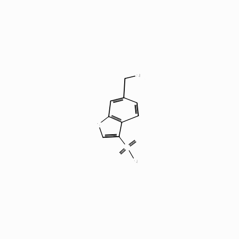 NCc1ccc2c(S(N)(=O)=O)c[nH]c2c1